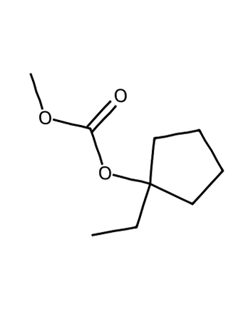 CCC1(OC(=O)OC)CCCC1